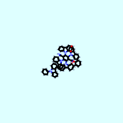 N#Cc1c(-n2c3ccccc3c3ccccc32)c(-n2c3ccccc3c3ccccc32)c(C#N)c(-n2c3cc(-c4cccc5c4c4ccccc4n5-c4ccccc4)ccc3c3ccc4c5ccccc5oc4c32)c1-n1c2ccccc2c2ccccc21